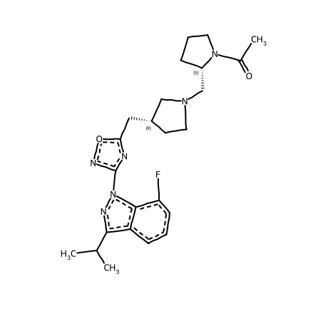 CC(=O)N1CCC[C@H]1CN1CC[C@H](Cc2nc(-n3nc(C(C)C)c4cccc(F)c43)no2)C1